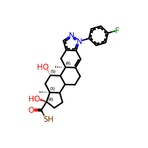 C[C@]12Cc3cnn(-c4ccc(F)cc4)c3C=C1CCC1C2[C@@H](O)C[C@@]2(C)C1CC[C@]2(O)C(=O)S